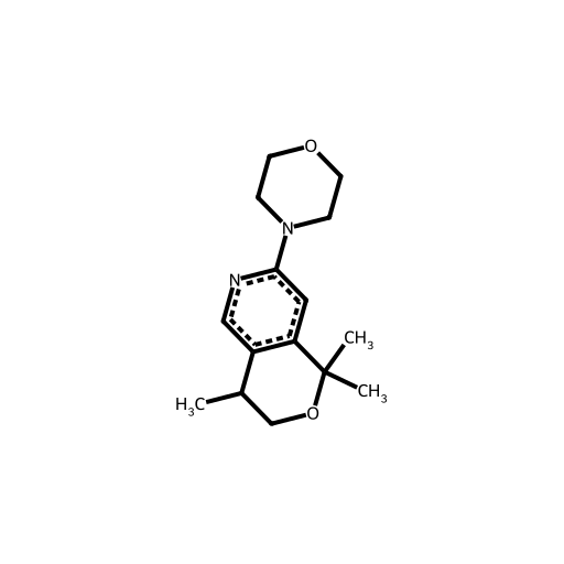 CC1COC(C)(C)c2cc(N3CCOCC3)ncc21